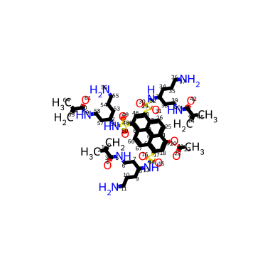 C=C(C)C(=O)NCCC(CCCN)NS(=O)(=O)c1cc(OC(C)=O)c2ccc3c(S(=O)(=O)NC(CCCN)CCNC(=O)C(=C)C)cc(S(=O)(=O)NC(CCCN)CCNC(=O)C(=C)C)c4ccc1c2c34